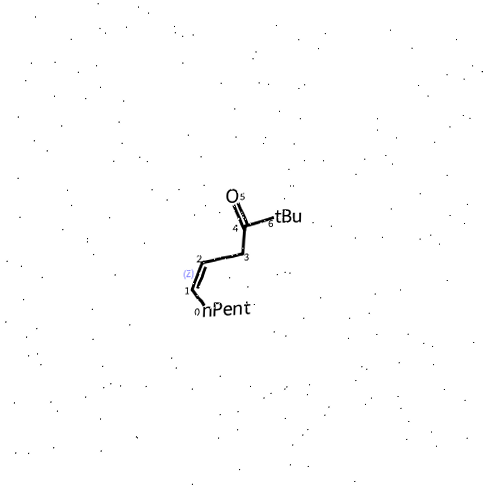 CCCCC/C=C\CC(=O)C(C)(C)C